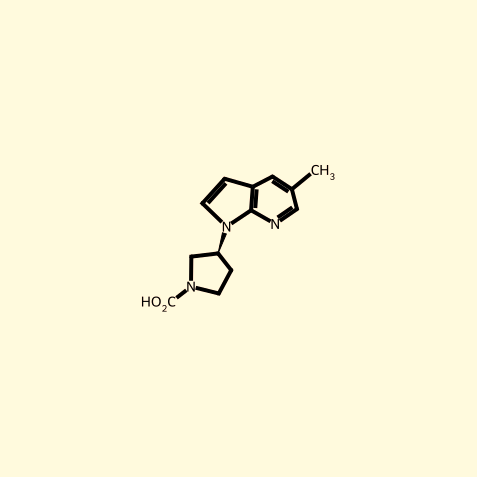 Cc1cnc2c(ccn2[C@H]2CCN(C(=O)O)C2)c1